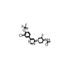 CC(=O)NC1CCN(c2cc(-c3ccc(OC(F)(F)F)c(Cl)c3)ncn2)CC1F